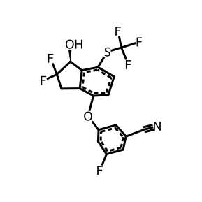 N#Cc1cc(F)cc(Oc2ccc(SC(F)(F)F)c3c2CC(F)(F)[C@H]3O)c1